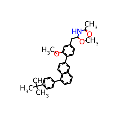 COc1cc(CC(NC(C)=O)OC)ccc1-c1ccc2c(-c3ccc(C(C)(C)C)cc3)cccc2c1